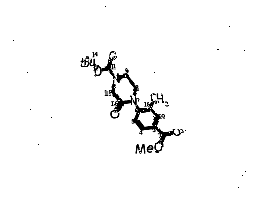 COC(=O)c1ccc(N2CCN(C(=O)OC(C)(C)C)CC2=O)c(C)c1